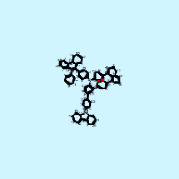 c1ccc(-c2c(-c3ccc(N(c4ccc(-c5ccc(-n6c7ccccc7c7ccccc76)cc5)cc4)c4ccc(-c5cccc6cccc(-c7ccccc7)c56)cc4)cc3)c3ccccc3c3ccccc23)cc1